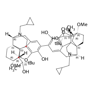 CO[C@]12CC[C@@]3(C[C@@H]1[C@](C)(O)C(C)(C)C)[C@H]1Cc4cc(-c5cc6c7c(c5O)O[C@@]5(C)C78CCN(CC7CC7)[C@H](C6)[C@]86CC[C@@]5(OC)[C@@H]([C@](C)(O)C(C)(C)C)C6)c(O)c5c4[C@@]3(CCN1CC1CC1)[C@H]2O5